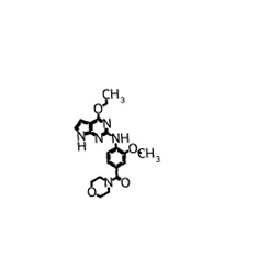 CCOc1nc(Nc2ccc(C(=O)N3CCOCC3)cc2OC)nc2[nH]ccc12